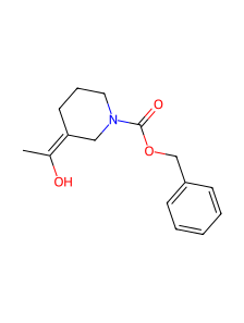 CC(O)=C1CCCN(C(=O)OCc2ccccc2)C1